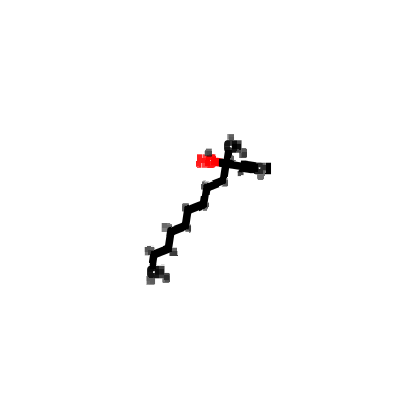 C#CC(C)(O)CCCCCCCCC